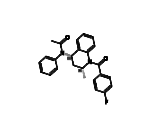 CC(=O)N(c1ccccc1)[C@H]1C[C@@H](C)N(C(=O)c2ccc(F)cc2)c2ccccc21